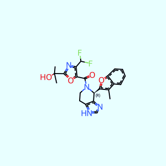 Cc1c([C@H]2c3nc[nH]c3CCN2C(=O)c2oc(C(C)(C)O)nc2C(F)F)oc2ccccc12